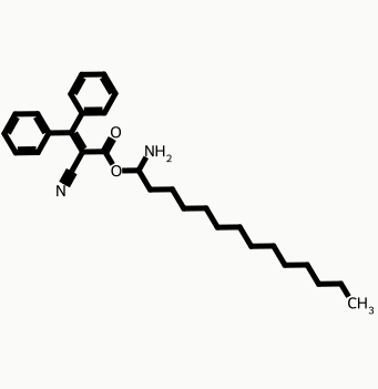 CCCCCCCCCCCCCC(N)OC(=O)C(C#N)=C(c1ccccc1)c1ccccc1